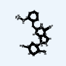 O=c1[nH]c(Cc2ccccc2OC(F)(F)F)nc2c1cnn2-c1cc(F)ccc1Br